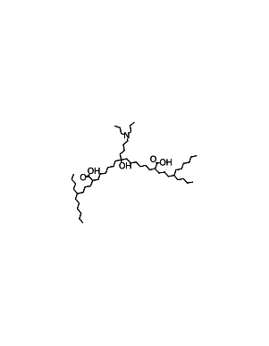 CCCCCCC(CCCC)CCCC(CCCCCCC(O)(CCCCCCC(CCCC(CCCC)CCCCCC)C(=O)O)CCCCN(CCC)CCC)C(=O)O